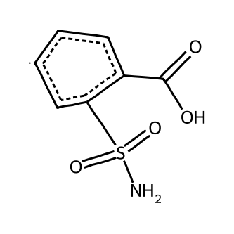 NS(=O)(=O)c1c[c]ccc1C(=O)O